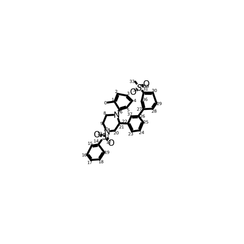 Cc1ccccc1N1CCN(S(=O)(=O)c2ccccc2)CC1c1cccc(-c2cccc(S(C)(=O)=O)c2)c1